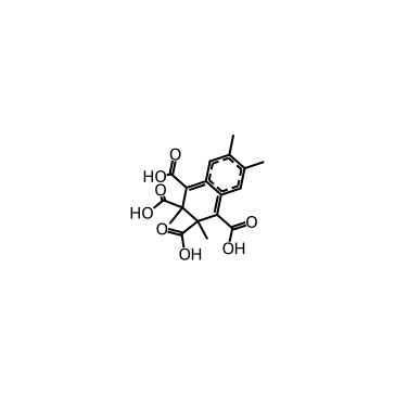 Cc1cc2c(cc1C)=C(C(=O)O)C(C)(C(=O)O)C(C)(C(=O)O)C=2C(=O)O